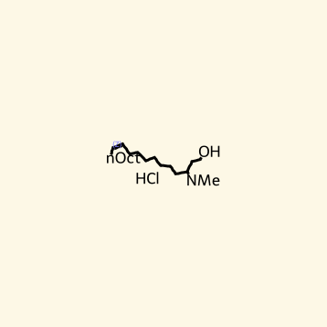 CCCCCCCC/C=C\CCCCCCCC(CCO)NC.Cl